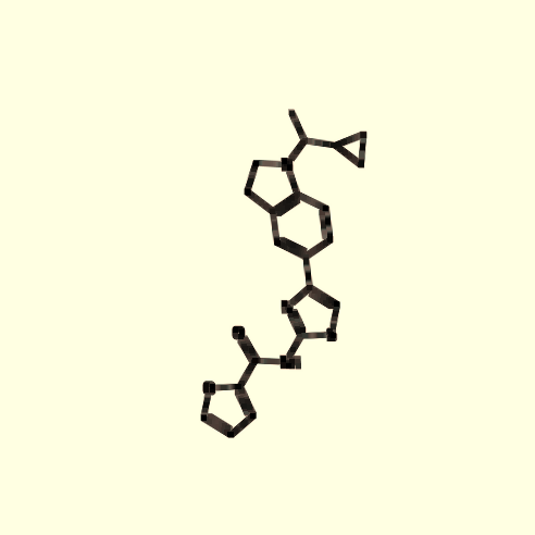 CC(C1CC1)N1CCc2cc(-c3csc(NC(=O)c4ccco4)n3)ccc21